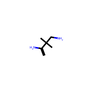 C=C(N)C(C)(C)CN